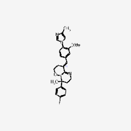 COc1cc(/C=C2\CCON3C2=NCCC3(C)c2ccc(F)cc2)ccc1-n1cnc(C)c1